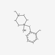 Cc1ccccc1CC1(O)CCN(C)CC1